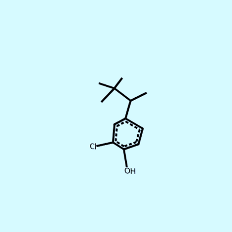 CC(c1ccc(O)c(Cl)c1)C(C)(C)C